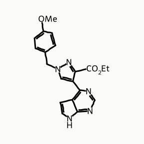 CCOC(=O)c1nn(Cc2ccc(OC)cc2)cc1-c1ncnc2[nH]ccc12